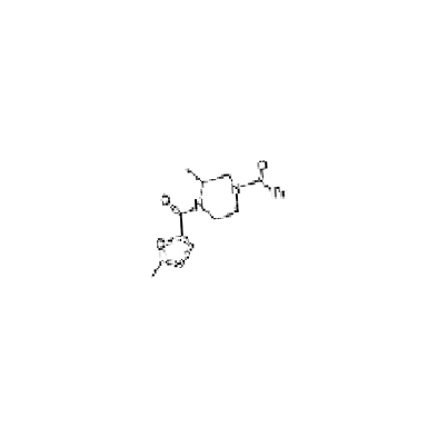 Cc1ccc(C(=O)N2CCN(C(=O)C(C)C)CC2C)o1